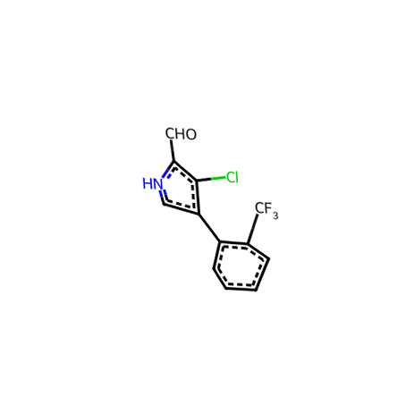 O=Cc1[nH]cc(-c2ccccc2C(F)(F)F)c1Cl